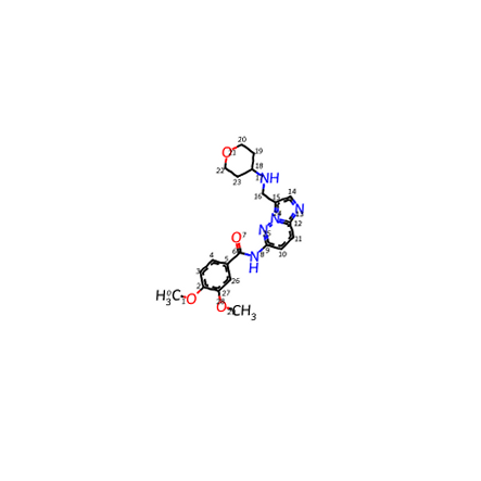 COc1ccc(C(=O)Nc2ccc3ncc(CNC4CCOCC4)n3n2)cc1OC